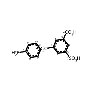 O=C(O)c1cc(C(=O)O)cc(S(=O)(=O)O)c1.Pc1ccccc1